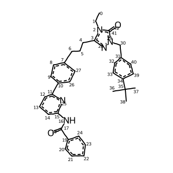 CCn1c(CCCc2ccc(-c3cccc(NC(=O)c4ccccc4)n3)cc2)nn(Cc2ccc(C(C)(C)C)cc2)c1=O